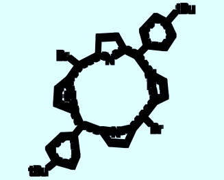 CC(C)(C)c1ccc(-c2c3nc(c(Br)c4ccc([nH]4)c(-c4ccc(C(C)(C)C)cc4)c4nc(c(Br)c5ccc2[nH]5)C=C4)C=C3)cc1